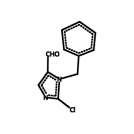 O=Cc1cnc(Cl)n1Cc1ccccc1